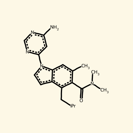 Cc1cc2c(ccn2-c2cc(N)ncn2)c(CC(C)C)c1C(=O)N(C)C